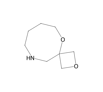 C1CCOC2(CNC1)COC2